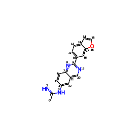 CC(=N)Nc1ccc2nc(-c3ccc4ccoc4c3)ncc2c1